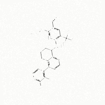 COc1nc(NC2CCCc3c(-c4ccnc(Cl)c4Cl)cccc32)c(C(F)(F)F)cc1C=O